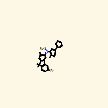 Cc1ccc(-c2ccccc2)cc1N(c1cc2c(cc1C)C(C)(C)c1ccc(C(C)C)cc1-2)C(C)(C)C